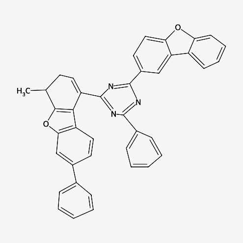 CC1CC=C(c2nc(-c3ccccc3)nc(-c3ccc4oc5ccccc5c4c3)n2)c2c1oc1cc(-c3ccccc3)ccc21